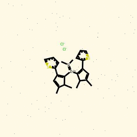 CC1=CC(c2cccs2)=[C]([Zr+2]([C]2=C(c3cccs3)C=C(C)C2C)=[Si](C)C)C1C.[Cl-].[Cl-]